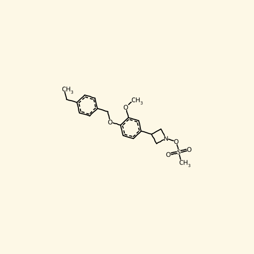 CCc1ccc(COc2ccc(C3CN(OS(C)(=O)=O)C3)cc2OC)cc1